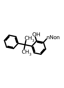 CCCCCCCCCc1cccc(C(C)(C)c2ccccc2)c1O